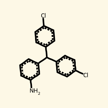 Nc1cccc(C(c2ccc(Cl)cc2)c2ccc(Cl)cc2)c1